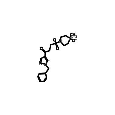 C[N+]1([O-])CCN(S(=O)(=O)CCC(=O)c2[c]n(Cc3ccccc3)nc2)CC1